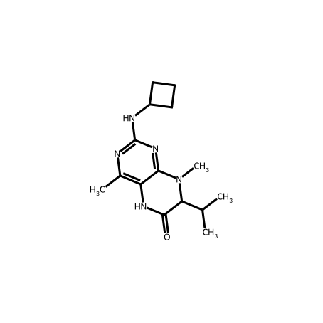 Cc1nc(NC2CCC2)nc2c1NC(=O)C(C(C)C)N2C